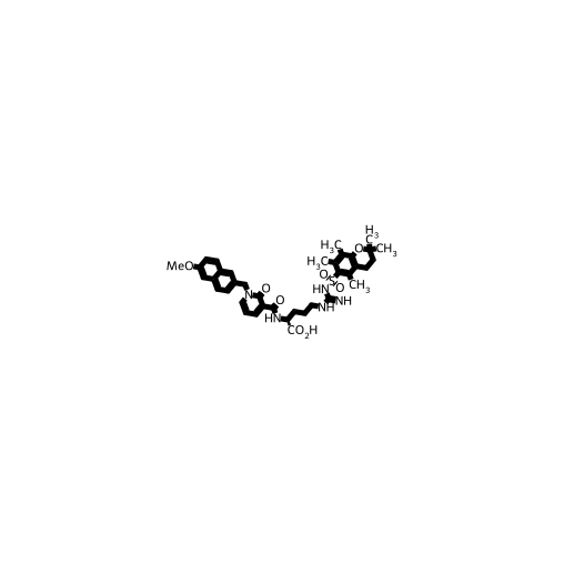 COc1ccc2cc(Cn3cccc(C(=O)N[C@@H](CCCNC(=N)NS(=O)(=O)c4c(C)c(C)c5c(c4C)CCC(C)(C)O5)C(=O)O)c3=O)ccc2c1